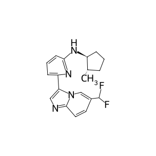 C[C@H]1CCC[C@@H]1Nc1cccc(-c2cnc3ccc(C(F)F)cn23)n1